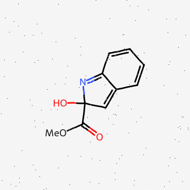 COC(=O)C1(O)C=c2ccccc2=N1